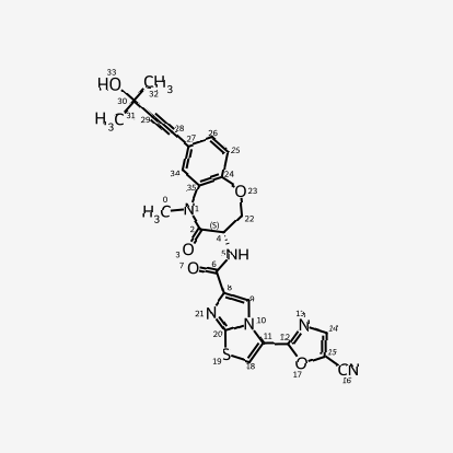 CN1C(=O)[C@@H](NC(=O)c2cn3c(-c4ncc(C#N)o4)csc3n2)COc2ccc(C#CC(C)(C)O)cc21